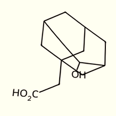 O=C(O)CC12CC3CC(C1)C(O)C(C3)C2